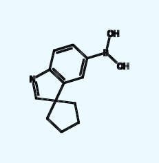 OB(O)c1ccc2c(c1)C1(C=N2)CCCC1